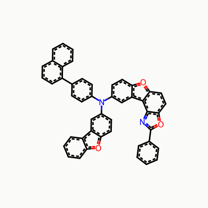 c1ccc(-c2nc3c(ccc4oc5ccc(N(c6ccc(-c7cccc8ccccc78)cc6)c6ccc7oc8ccccc8c7c6)cc5c43)o2)cc1